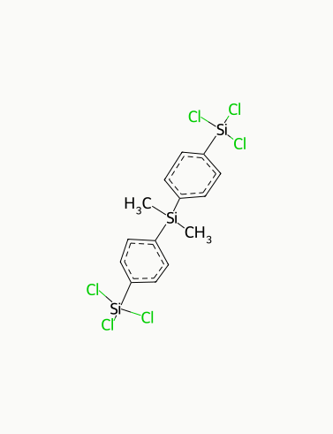 C[Si](C)(c1ccc([Si](Cl)(Cl)Cl)cc1)c1ccc([Si](Cl)(Cl)Cl)cc1